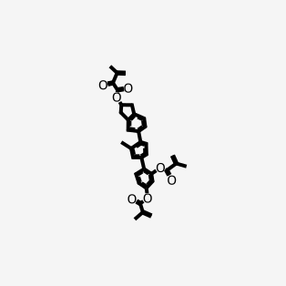 C=C(C)C(=O)Oc1ccc(-c2ccc(-c3ccc4c(c3)CC(OC(=O)C(=O)C(=C)C)C4)c(C)c2)c(OC(=O)C(=C)C)c1